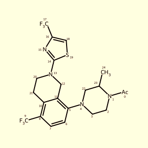 CC(=O)N1CCN(c2ccc(C(F)(F)F)c3c2CN(c2nc(C(F)(F)F)cs2)CC3)CC1C